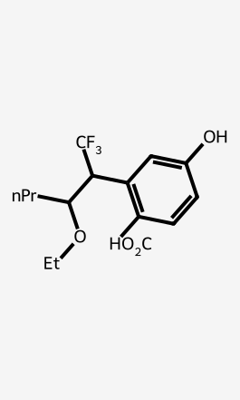 CCCC(OCC)C(c1cc(O)ccc1C(=O)O)C(F)(F)F